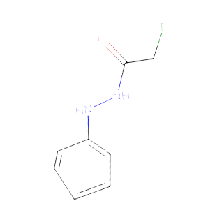 O=C(CF)NNc1ccccc1